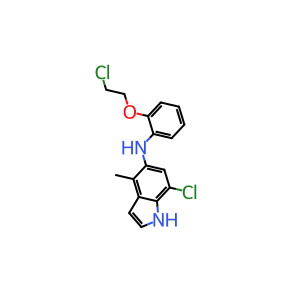 Cc1c(Nc2ccccc2OCCCl)cc(Cl)c2[nH]ccc12